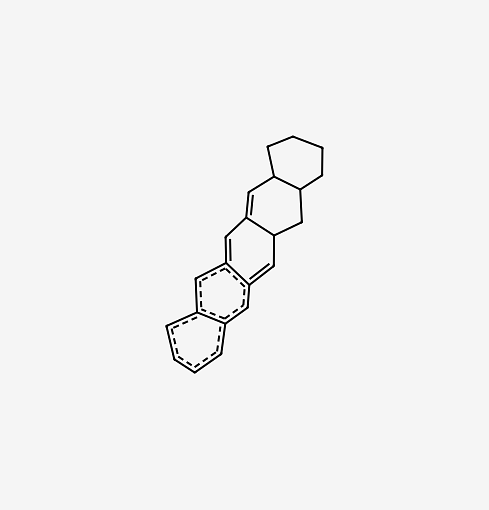 C1=C2C=c3cc4ccccc4cc3=CC2CC2CCCCC12